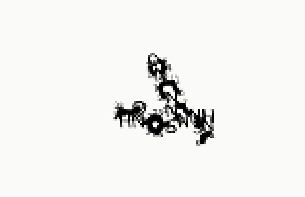 Cc1cnc(Nc2cc(N3CCC(N4CCOCC4)CC3)nc(Sc3ccc(NC(=O)C4CC4)cc3)n2)s1